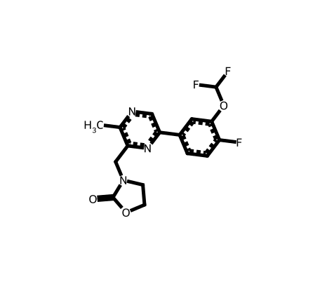 Cc1ncc(-c2ccc(F)c(OC(F)F)c2)nc1CN1CCOC1=O